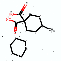 C1CCCCC1.CC1CCC(C(=O)O)(C(=O)O)CC1